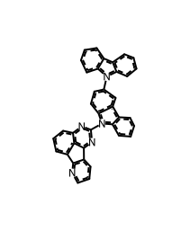 c1cnc2c(c1)-c1nc(-n3c4ccccc4c4cc(-n5c6ccccc6c6ccccc65)ccc43)nc3cccc-2c13